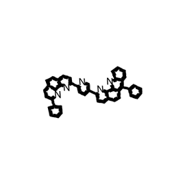 c1ccc(-c2ccc3ccc4ccc(-c5ccc(-c6ccc7ccc8c(-c9ccccc9)c9ccccc9nc8c7n6)cn5)nc4c3n2)cc1